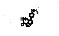 Nc1ccc(-c2ccn3ccc4c3c2CNCC4=O)cc1